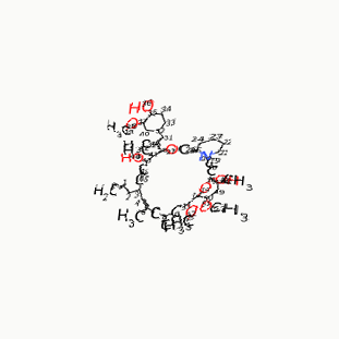 C=CCC1/C=C(/C)CC(C)CC(OC)C2OC(O)(CCN3CCCCC3COC(/C(C)=C/C3CCC(O)C(OC)C3)C(C)C(O)CC1)C(C)CC2OC